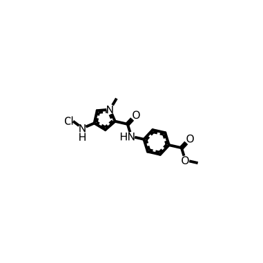 COC(=O)c1ccc(NC(=O)c2cc(NCl)cn2C)cc1